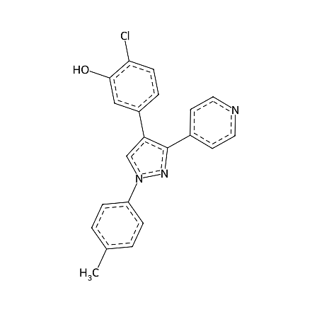 Cc1ccc(-n2cc(-c3ccc(Cl)c(O)c3)c(-c3ccncc3)n2)cc1